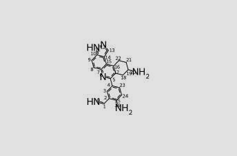 N=Cc1cc(-c2nc3ccc4[nH]ncc4c3c3c2CC(N)CC3)ccc1N